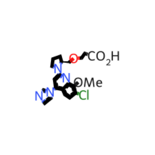 COc1c(Cl)ccc2c(-n3ccnc3)cc(N3CCC[C@H]3COCCC(=O)O)nc12